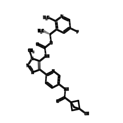 Cc1ncc(F)cc1[C@@H](C)OC(=O)Nc1c(-c2ccc(NC(=O)C34CC(C#N)(C3)C4)cn2)nnn1C